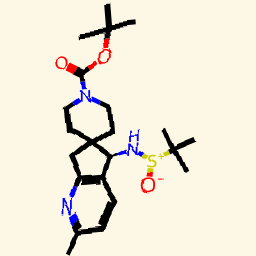 Cc1ccc2c(n1)CC1(CCN(C(=O)OC(C)(C)C)CC1)[C@H]2N[S+]([O-])C(C)(C)C